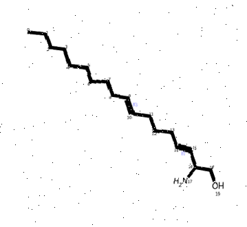 CCCCCCCCC/C=C/CCC/C=C/C(N)CO